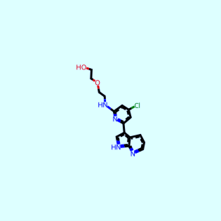 OCCOCCNc1cc(Cl)cc(-c2c[nH]c3ncccc23)n1